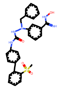 CS(=O)(=O)c1ccccc1-c1ccc(NC(=O)NN(Cc2ccccc2)c2cccc(C(=N)NO)c2)cc1